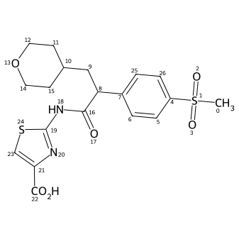 CS(=O)(=O)c1ccc(C(CC2CCOCC2)C(=O)Nc2nc(C(=O)O)cs2)cc1